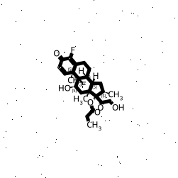 CCC(=O)O[C@@]1(C(=O)CO)[C@@H](C)C[C@H]2[C@@H]3CCC4=C(F)C(=O)C=C[C@]4(C)[C@@]3(F)[C@@H](O)C[C@@]21C